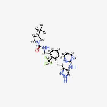 CCc1n[nH]cc1Nc1nccc(-c2ccc(CNC(=O)N3CCC(C(C)(C)C)C3)c(C(F)(F)F)c2)n1